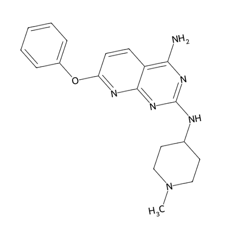 CN1CCC(Nc2nc(N)c3ccc(Oc4ccccc4)nc3n2)CC1